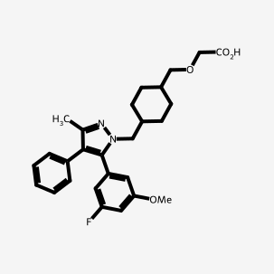 COc1cc(F)cc(-c2c(-c3ccccc3)c(C)nn2CC2CCC(COCC(=O)O)CC2)c1